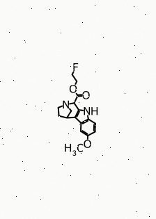 COc1ccc2[nH]c3c(c2c1)C1CCN(C1)C3C(=O)OCCF